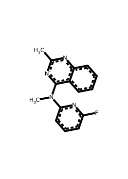 Cc1nc(N(C)c2cccc(F)n2)c2ccccc2n1